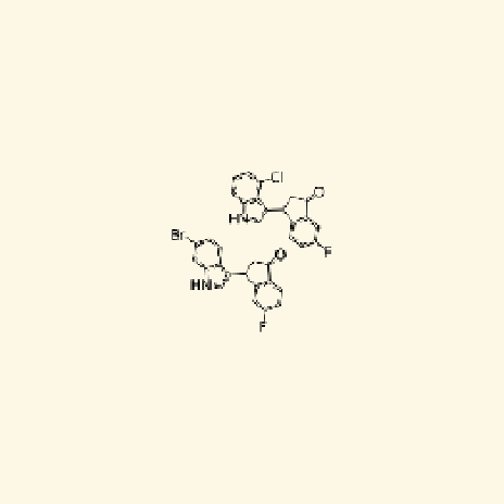 O=C1CC(c2c[nH]c3cc(Br)ccc23)c2cc(F)ccc21.O=C1CC(c2c[nH]c3cccc(Cl)c23)c2ccc(F)cc21